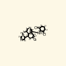 CC1=CN=C2N=C(Nc3c(Cl)cccc3Cl)N(C)C23CC(=O)CC(c2cncn2C)=C13